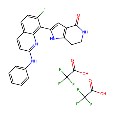 O=C(O)C(F)(F)F.O=C(O)C(F)(F)F.O=C1NCCc2[nH]c(-c3c(F)ccc4ccc(Nc5ccccc5)nc34)cc21